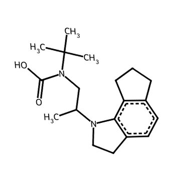 CC(CN(C(=O)O)C(C)(C)C)N1CCc2ccc3c(c21)CCC3